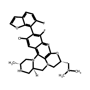 C[C@@H]1CN2c3c4c(nc5c(F)c(-c6c(F)ccc7ccoc67)c(Cl)cc35)O[C@H](CN(C)C)CN4C[C@H]2CN1